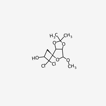 COC1O[C@@]2(CC(O)C2(Cl)Cl)C2OC(C)(C)OC12